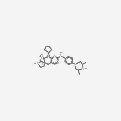 CC1CN(c2ccc(Nc3ncc4c(n3)N(C3CCCC3)C(=O)[C@]3(CCNC3=O)C4)cc2)CC(C)N1